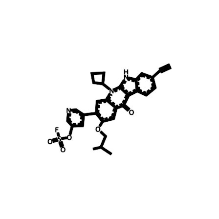 C#Cc1ccc2c(c1)[nH]c1c2c(=O)c2cc(OCC(C)C)c(-c3cncc(OS(=O)(=O)F)c3)cc2n1C1CCC1